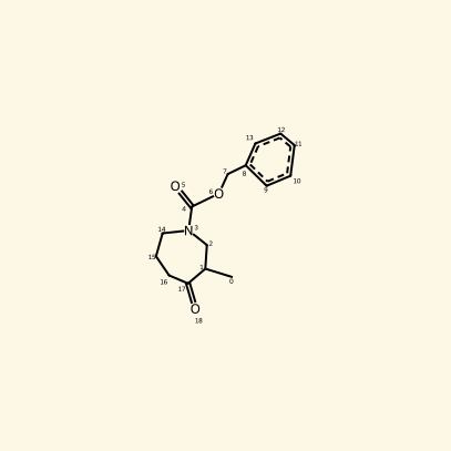 CC1CN(C(=O)OCc2ccccc2)CCCC1=O